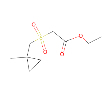 CCOC(=O)CS(=O)(=O)CC1(C)CC1